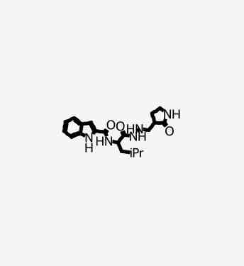 CC(C)CC(NC(=O)c1cc2ccccc2[nH]1)C(=O)NNCC1CCNC1=O